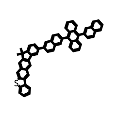 CC1(C)c2ccc(-c3ccc4cc(-c5c6ccccc6c(-c6ccc7ccccc7c6)c6ccccc56)ccc4c3)cc2-c2cc3cc4c(cc3cc21)sc1ccccc14